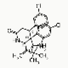 C=C([C@H]1NC(=O)C[C@@H](c2cccc(Cl)c2)[C@]12C(=O)Nc1cc(Cl)ccc12)C(C)(C)C